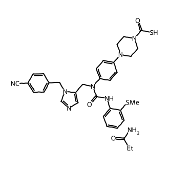 CCC(N)=O.CSc1ccccc1NC(=O)N(Cc1cncn1Cc1ccc(C#N)cc1)c1ccc(N2CCN(C(=O)S)CC2)cc1